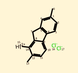 Cc1ccc2c(c1)Cc1c-2ccc(C)[c]1[Hf+2].[Cl-].[Cl-]